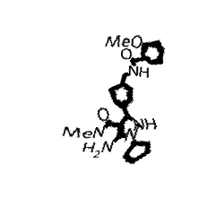 CNC(=O)C1=C(N)N(C2CCCC2)NC1c1ccc(CNC(=O)c2ccccc2OC)cc1